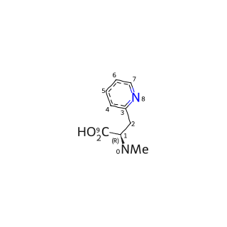 CN[C@H](Cc1ccccn1)C(=O)O